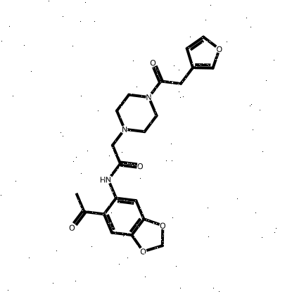 CC(=O)c1cc2c(cc1NC(=O)CN1CCN(C(=O)Cc3ccoc3)CC1)OCO2